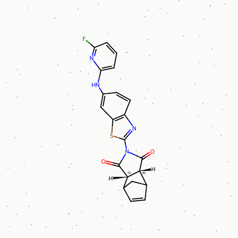 O=C1[C@@H]2C3C=CC(C3)[C@@H]2C(=O)N1c1nc2ccc(Nc3cccc(F)n3)cc2s1